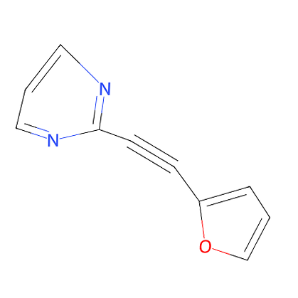 C(#Cc1ccco1)c1ncccn1